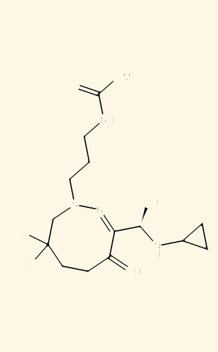 C=C1CCC(C)(C)CN(CCCNC(=O)OC)/N=C\1[C@@H](C)NC1CC1